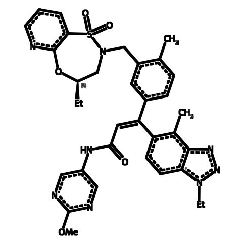 CC[C@@H]1CN(Cc2cc(C(=CC(=O)Nc3cnc(OC)nc3)c3ccc4c(nnn4CC)c3C)ccc2C)S(=O)(=O)c2cccnc2O1